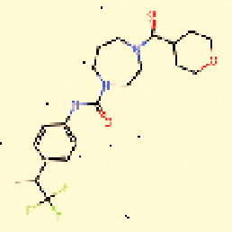 CC(c1ccc(NC(=O)N2CCCN(C(=O)C3CCOCC3)CC2)cc1)C(F)(F)F